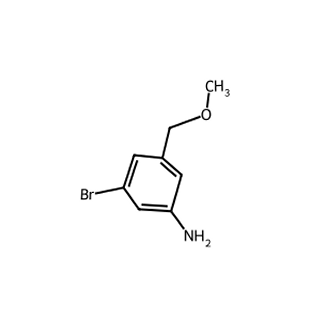 COCc1cc(N)cc(Br)c1